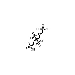 O=P(O)(O)CNCC(NCP(=O)(O)O)(P(=O)(O)O)P(=O)(O)O